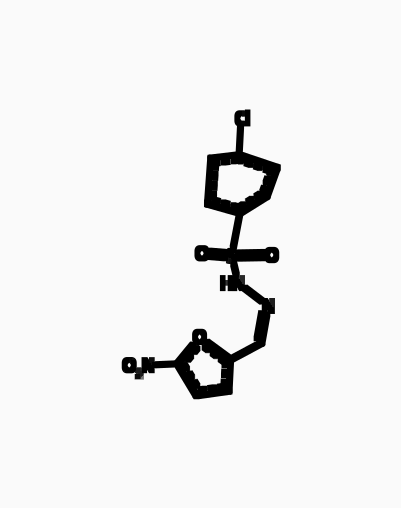 O=[N+]([O-])c1ccc(/C=N\NS(=O)(=O)c2ccc(Cl)cc2)o1